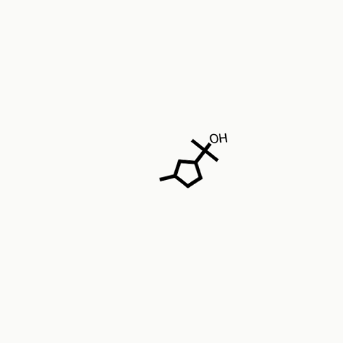 CC1CCC(C(C)(C)O)C1